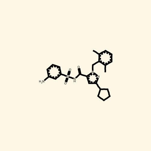 Cc1cccc(C)c1Cn1nc(C2CCCC2)cc1C(=O)NS(=O)(=O)c1cccc(N)c1